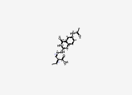 C/C=C(\C=N/Nc1nc2ccc(NC(C)=O)cc2c(=O)[nH]1)C(=O)O